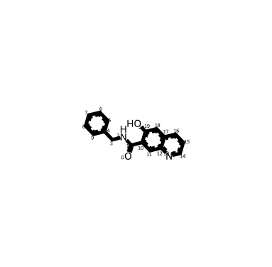 O=C(NCc1ccccc1)c1cc2ncccc2cc1O